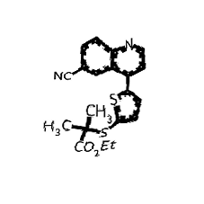 CCOC(=O)C(C)(C)Sc1ccc(-c2ccnc3ccc(C#N)cc23)s1